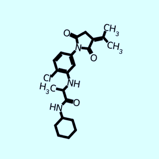 CC(C)=C1CC(=O)N(c2ccc(Cl)c(NC(C)C(=O)NC3CCCCC3)c2)C1=O